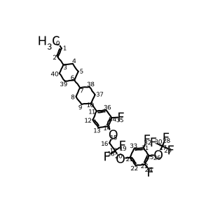 C/C=C/C1CCC(C2CCC(c3ccc(OCC(F)(F)Oc4cc(F)c(OC(F)(F)F)c(F)c4)c(F)c3)CC2)CC1